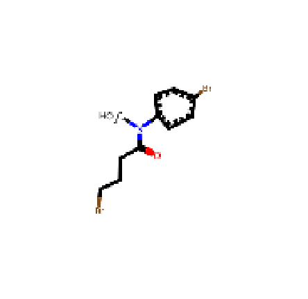 O=C(O)N(C(=O)CCCBr)c1ccc(Br)cc1